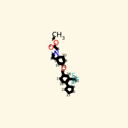 CCOC(=O)Cn1ccc2cc(OCc3ccc(C4CCCC4)c(C(F)(F)F)c3)ccc21